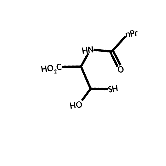 CCCC(=O)NC(C(=O)O)C(O)S